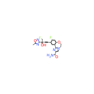 Cc1nc([C@@](O)(C#Cc2cc3c(cc2F)OCCn2cc(C(N)=O)nc2-3)CF)no1